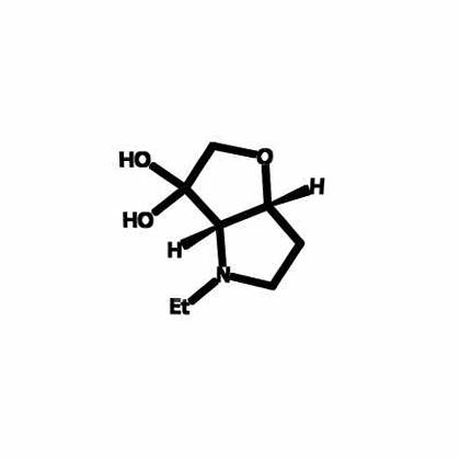 CCN1CC[C@H]2OCC(O)(O)[C@H]21